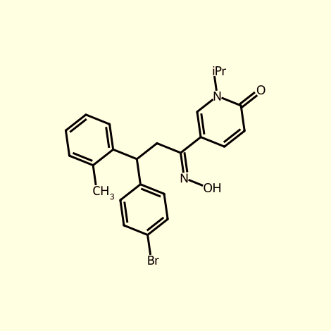 Cc1ccccc1C(CC(=NO)c1ccc(=O)n(C(C)C)c1)c1ccc(Br)cc1